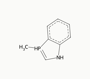 C[PH]1=CNc2ccccc21